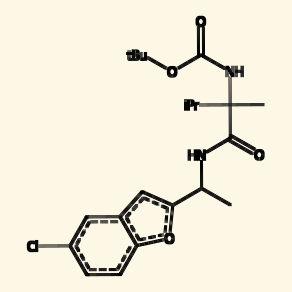 CC(NC(=O)C(C)(NC(=O)OC(C)(C)C)C(C)C)c1cc2cc(Cl)ccc2o1